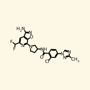 Cc1ncn(-c2ccc(C(=O)NC3CCN(c4nc(C(F)F)cc5c(N)noc45)C3)c(Cl)c2)n1